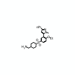 CCCc1cc(-c2cc(S(=O)(=O)N3CCC(CN)CC3)ccc2OCC)n(C)n1